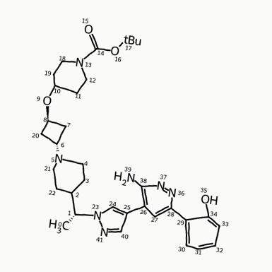 C[C@H](C1CCN([C@H]2C[C@H](OC3CCN(C(=O)OC(C)(C)C)CC3)C2)CC1)n1cc(-c2cc(-c3ccccc3O)nnc2N)cn1